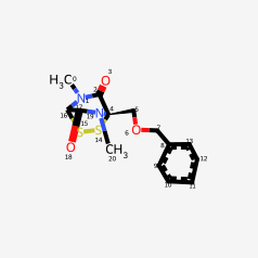 CN1C(=O)[C@]2(COCc3ccccc3)SSC1C(=O)N2C